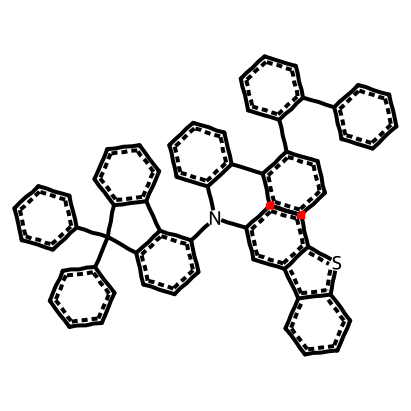 c1ccc(-c2ccccc2-c2ccccc2-c2ccccc2N(c2ccc3sc4ccccc4c3c2)c2cccc3c2-c2ccccc2C3(c2ccccc2)c2ccccc2)cc1